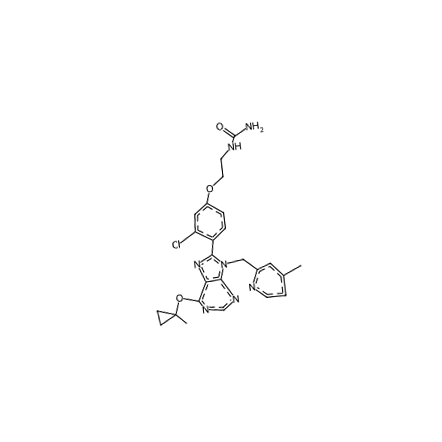 Cc1ccnc(Cn2c(-c3ccc(OCCNC(N)=O)cc3Cl)nc3c(OC4(C)CC4)ncnc32)c1